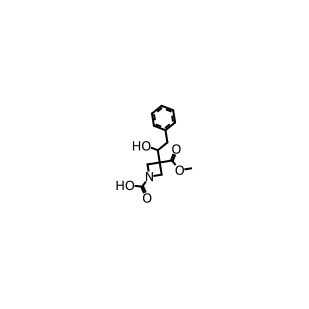 COC(=O)C1(C(O)Cc2ccccc2)CN(C(=O)O)C1